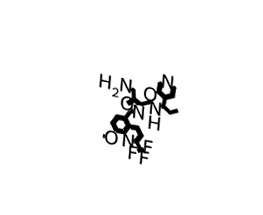 CCC(NC(=O)c1nc(-c2ccc(OC)c3nc(C(F)(F)F)ccc23)oc1CN)c1ccncc1